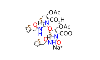 CC(=O)OCC1=C(C(=O)O)N2C(=O)[C@@H](NC(=O)Cc3cccs3)[C@H]2SC1.CC(=O)OCC1=C(C(=O)[O-])N2C(=O)C(NC(=O)Cc3cccs3)[C@H]2SC1.[Na+]